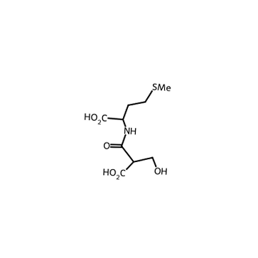 CSCCC(NC(=O)C(CO)C(=O)O)C(=O)O